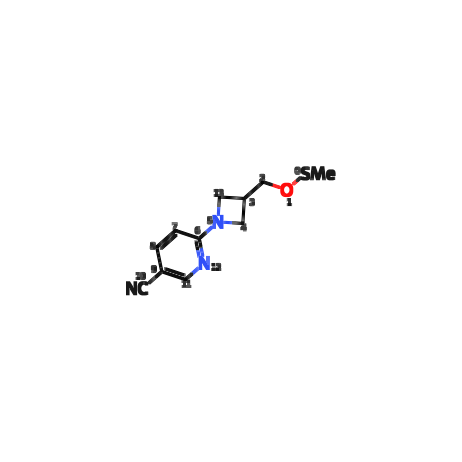 CSOCC1CN(c2ccc(C#N)cn2)C1